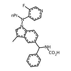 CCCN(c1ccncc1F)n1cc(C)c2cc(C(NC(=O)O)c3ccccc3)ccc21